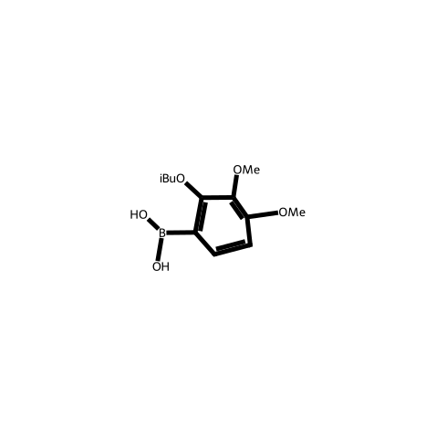 COc1ccc(B(O)O)c(OCC(C)C)c1OC